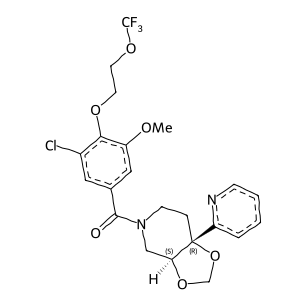 COc1cc(C(=O)N2CC[C@]3(c4ccccn4)OCO[C@H]3C2)cc(Cl)c1OCCOC(F)(F)F